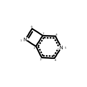 C1=Nc2ccncc21